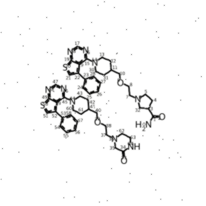 NC(=O)C1CCN(CCOCC2CCN(c3ncnc4scc(-c5ccccc5)c34)CC2)C1.O=C1CN(CCOCC2CCN(c3ncnc4scc(-c5ccccc5)c34)CC2)CCN1